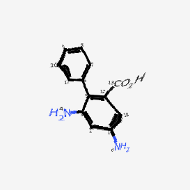 Nc1cc(N)c(-c2ccccc2)c(C(=O)O)c1